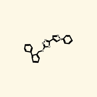 c1ccc(-c2ccccc2CSc2nnc(-c3cnn(-c4ccccc4)c3)o2)cc1